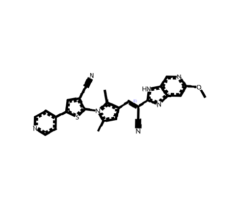 COc1cc2nc(/C(C#N)=C/c3cc(C)n(-c4sc(-c5ccncc5)cc4C#N)c3C)[nH]c2cn1